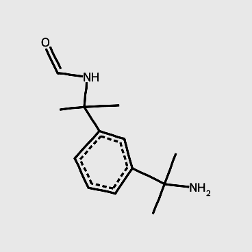 CC(C)(N)c1cccc(C(C)(C)NC=O)c1